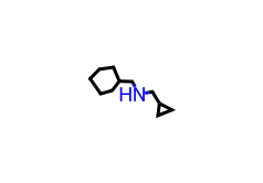 C1CCC(CNCC2CC2)CC1